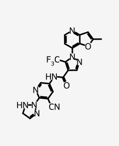 Cc1cc2nccc(-n3ncc(C(=O)Nc4cnc(N5N=CCN5)c(C#N)c4)c3C(F)(F)F)c2o1